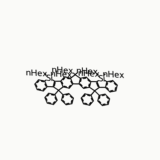 CCCCCCC1(CCCCCC)c2cc3c(cc2-c2cc4c(cc21)C1=C(c2ccccc2[Si]1(CCCCCC)CCCCCC)C4(c1ccccc1)c1ccccc1)C(c1ccccc1)(c1ccccc1)C1=C3[Si](CCCCCC)(CCCCCC)c2ccccc21